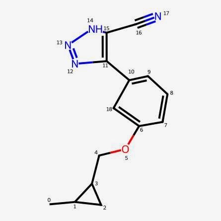 CC1CC1COc1cccc(-c2nn[nH]c2C#N)c1